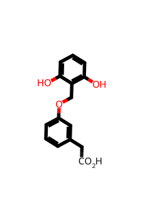 O=C(O)Cc1cccc(OCc2c(O)cccc2O)c1